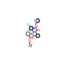 C[Si](C)(C)CCOC(=O)C1CCCCC1N1C(=O)c2ccccc2C(C(=O)NOCc2ccccn2)C1c1ccc(Cl)cc1Cl